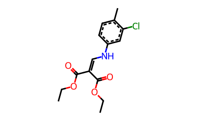 CCOC(=O)C(=CNc1ccc(C)c(Cl)c1)C(=O)OCC